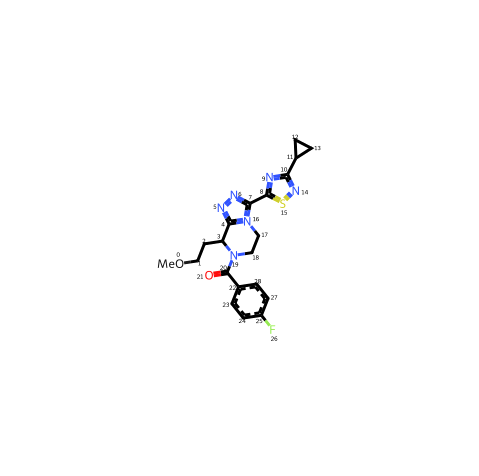 COCCC1c2nnc(-c3nc(C4CC4)ns3)n2CCN1C(=O)c1ccc(F)cc1